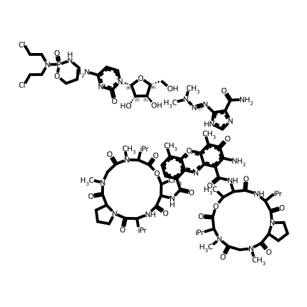 CN(C)/N=N/c1[nH]cnc1C(N)=O.Cc1c2oc3c(C)ccc(C(=O)NC4C(=O)NC(C(C)C)C(=O)N5CCCC5C(=O)N(C)CC(=O)N(C)C(C(C)C)C(=O)OC4C)c3nc-2c(C(=O)NC2C(=O)NC(C(C)C)C(=O)N3CCCC3C(=O)N(C)CC(=O)N(C)C(C(C)C)C(=O)OC2C)c(N)c1=O.Nc1ccn([C@@H]2O[C@H](CO)[C@@H](O)[C@@H]2O)c(=O)n1.O=P1(N(CCCl)CCCl)NCCCO1